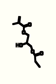 C=C(C)C(=O)OCC(O)COC(=O)CC